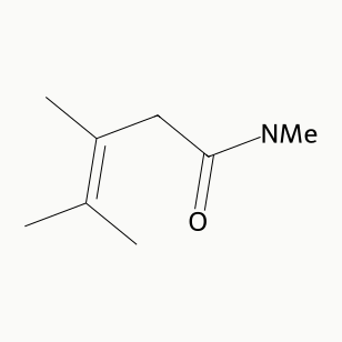 [CH2]NC(=O)CC(C)=C(C)C